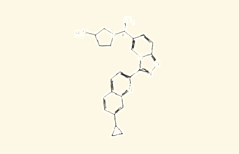 NC1CCN([C@H](c2ccc3nnc(-c4ccc5ccc(C6CC6)cc5n4)n3c2)C(F)(F)F)C1